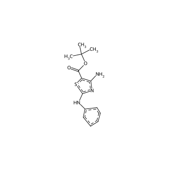 CC(C)(C)OC(=O)c1sc(Nc2ccccc2)nc1N